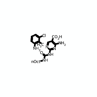 CCCCCCCCNC(=O)Nc1ncc(C(=O)O)c(N)n1.Cc1c(N)cccc1Cl